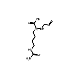 N=C(N)NCCCC[C@H](NCC=S)C(=O)O